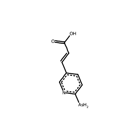 O=C(O)/C=C/c1ccc([AsH2])nc1